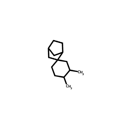 CC1CCC2(CC3CCC2C3)CC1C